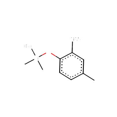 CNc1cc(C)ccc1O[Si](C)(C)C(C)(C)C